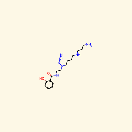 [N-]=[N+]=NN(CCCCNCCCN)CCNC(=O)c1ccccc1O